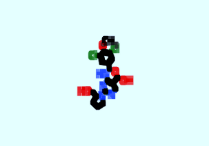 COc1c(Cl)cc(CNc2nc(N3CCCC3CO)ncc2C(=O)O)cc1Cl